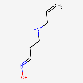 C=CCNCC/C=N/O